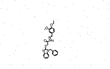 CCOc1ccc(C=NNC(=O)CSc2nc3ccccc3n2Cc2ccccc2)cc1OC